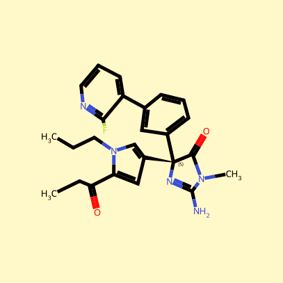 CCCn1cc([C@]2(c3cccc(-c4cccnc4F)c3)N=C(N)N(C)C2=O)cc1C(=O)CC